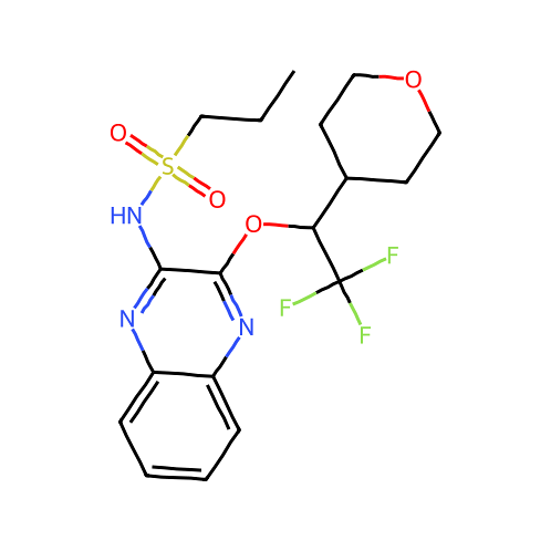 CCCS(=O)(=O)Nc1nc2ccccc2nc1OC(C1CCOCC1)C(F)(F)F